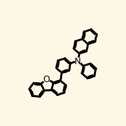 c1ccc(N(c2cccc(-c3cccc4c3oc3ccccc34)c2)c2ccc3ccccc3c2)cc1